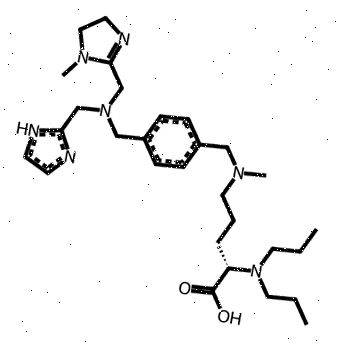 CCCN(CCC)[C@@H](CCCN(C)Cc1ccc(CN(CC2=NCCN2C)Cc2ncc[nH]2)cc1)C(=O)O